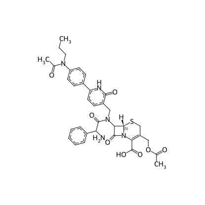 CCCN(C(C)=O)c1ccc(-c2ccc(CN(C(=O)C(N)c3ccccc3)C3C(=O)N4C(C(=O)O)=C(COC(C)=O)CS[C@@H]34)c(=O)[nH]2)cc1